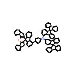 c1ccc(C2(c3ccccc3)c3ccccc3-c3c(N(c4ccc(-c5cccc6c5-c5ccccc5C65c6ccc7ccccc7c6Oc6c5ccc5ccccc65)cc4)c4ccc5c(c4)-c4ccccc4C54c5ccccc5-c5ccccc54)cccc32)cc1